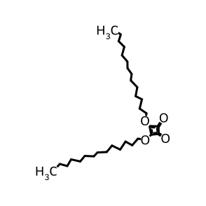 CCCCCCCCCCCCCCOc1c(OCCCCCCCCCCCCCC)c(=O)c1=O